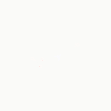 CS(=O)(=O)OCCn1ccc2cc([3O])ccc21